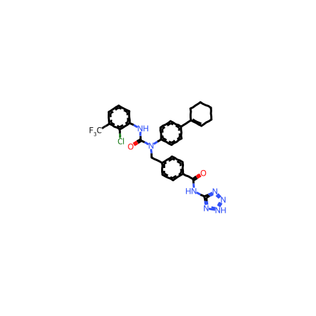 O=C(Nc1nn[nH]n1)c1ccc(CN(C(=O)Nc2cccc(C(F)(F)F)c2Cl)c2ccc(C3=CCCCC3)cc2)cc1